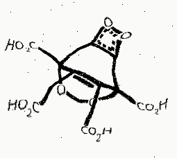 O=C(O)C1=C(C(=O)O)C2(C(=O)O)OOC1(C(=O)O)c1ooc12